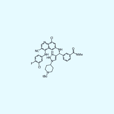 CNC(=O)c1cccc([C@H](Nc2cc(Cl)c3ncc(C#N)c(Nc4ccc(F)c(Cl)c4)c3c2)C2=CN(C3CCN(C(C)(C)C)CC3)NN2)c1